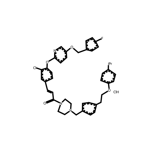 CC(C)c1ccc(OCCc2ccc(CN3CCN(C(=O)C=Cc4ccc(Oc5ccc(OCc6ccc(F)cc6)cn5)c(Cl)c4)CC3)cc2)cc1.Cl